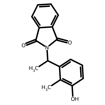 Cc1c(O)cccc1C(C)N1C(=O)c2ccccc2C1=O